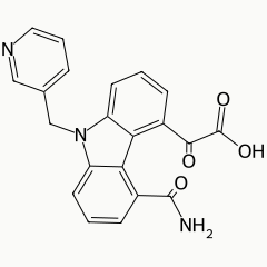 NC(=O)c1cccc2c1c1c(C(=O)C(=O)O)cccc1n2Cc1cccnc1